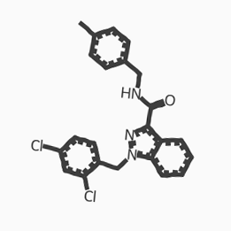 Cc1ccc(CNC(=O)c2nn(Cc3ccc(Cl)cc3Cl)c3ccccc23)cc1